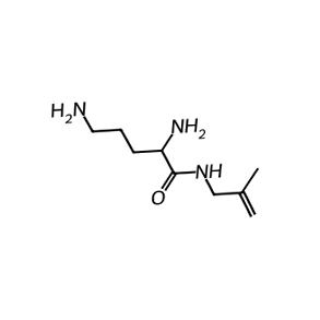 C=C(C)CNC(=O)C(N)CCCN